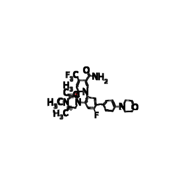 C[C@@H]1CN(c2cc(F)c(-c3ccc(N4CCOCC4)cc3)cc2-n2cc(C(N)=O)c(C(F)(F)F)cc2=O)C[C@H](C)N1C